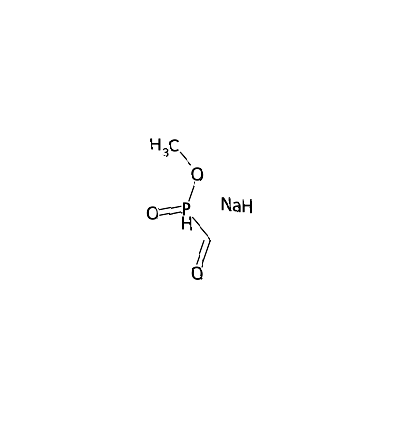 CO[PH](=O)C=O.[NaH]